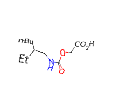 CCCCC(CC)CNC(=O)OCC(=O)O